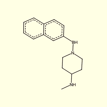 CNC1CCN(Bc2ccc3ccccc3c2)CC1